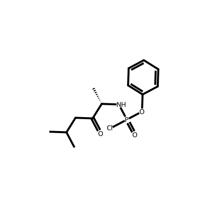 CC(C)CC(=O)[C@H](C)NP(=O)(Cl)Oc1ccccc1